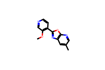 COc1cnccc1-c1nc2cc(C)cnc2o1